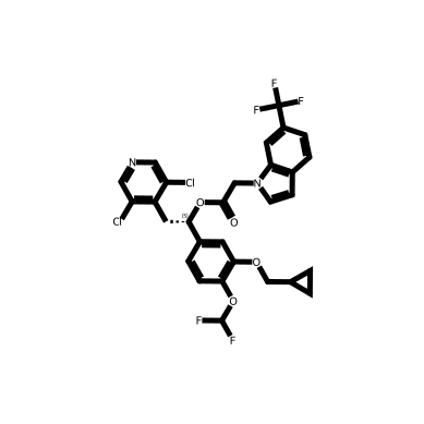 O=C(Cn1ccc2ccc(C(F)(F)F)cc21)O[C@@H](Cc1c(Cl)cncc1Cl)c1ccc(OC(F)F)c(OCC2CC2)c1